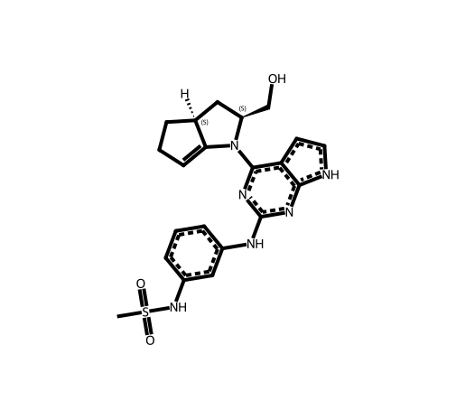 CS(=O)(=O)Nc1cccc(Nc2nc(N3C4=CCC[C@H]4C[C@H]3CO)c3cc[nH]c3n2)c1